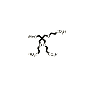 COCC(COCCC(=O)O)(COCCC(=O)O)COCCC(=O)O